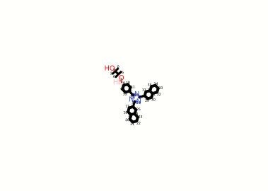 CC(C)(O)C(C)(C)OBc1ccc(-c2nc(-c3ccc4ccccc4c3)nc(-c3ccc4ccccc4c3)n2)cc1